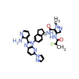 C=C(F)C(=O)Nc1cnn(C)c1C(=O)N[C@H]1CCc2cc(-n3c(-c4cccnc4N)nc4ccc(-n5cccn5)nc43)ccc21